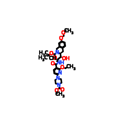 CCOc1nc(N2CCN(C(=O)OC)CC2)ccc1C(=O)NC[C@@H](O)[C@@H]1Cc2ccc(OCOC)cc2CN1C(=O)OC(C)(C)C